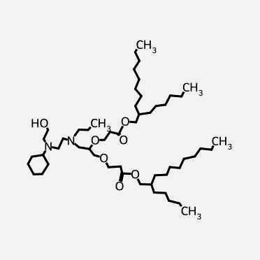 CCCCCCCCCC(CCCCC)COC(=O)CCOCC(CN(CCC)CCN(CCO)C1CCCCC1)OCCC(=O)OCC(CCCCCC)CCCCCCCC